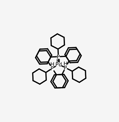 C1CCC([PH](C2CCCCC2)(C2CCCCC2)[Pd]([PH](C2CCCCC2)(C2CCCCC2)C2CCCCC2)[PH](C2CCCCC2)(C2CCCCC2)C2CCCCC2)CC1